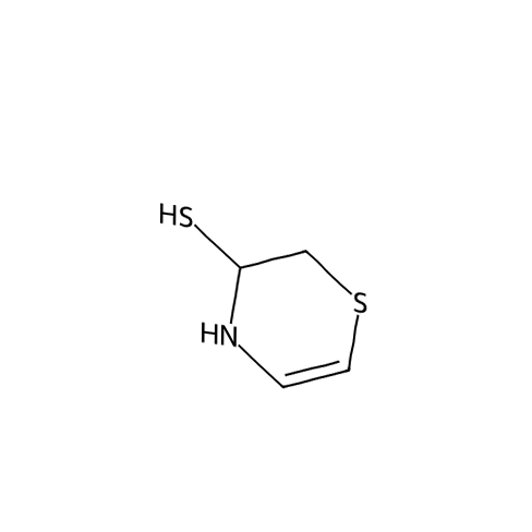 SC1CSC=CN1